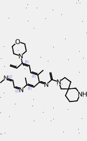 C=C/C(=C\C=C(/C)C(/C=C(C)/N=C\C=N/C)=NC(=C)N1CCC2(CCCNC2)C1)N1CCOCC1